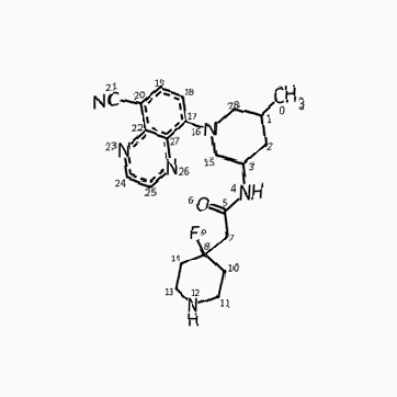 CC1CC(NC(=O)CC2(F)CCNCC2)CN(c2ccc(C#N)c3nccnc23)C1